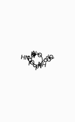 CCOC(=O)C(C)Cc1cccc(C2(C)CCCOC(C)(C)c3cn(nn3)Cc3c(c(F)cc4[nH]ccc34)Oc3ccc(F)c(c3)-c3ncc2[nH]3)c1